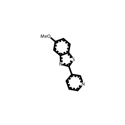 COc1ccc2sc(-c3cccnc3)nc2c1